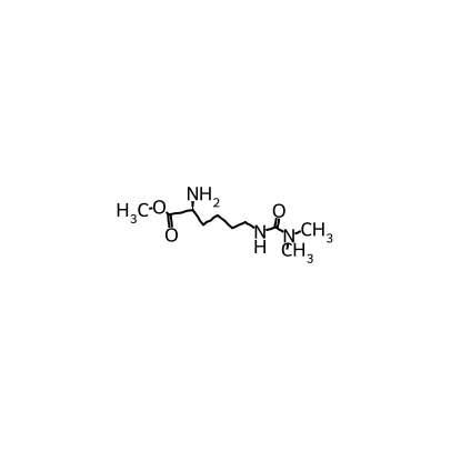 COC(=O)[C@@H](N)CCCCNC(=O)N(C)C